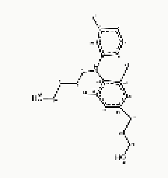 Cc1cccc(N(CCCCO)c2c(C)cc(CCCO)cc2C)c1